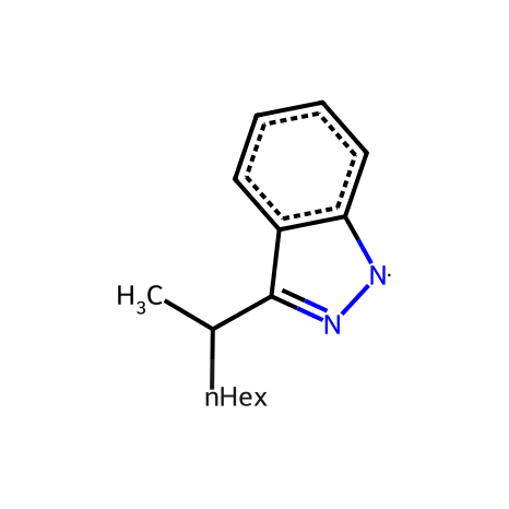 CCCCCCC(C)C1=N[N]c2ccccc21